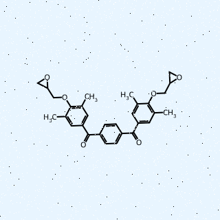 Cc1cc(C(=O)c2ccc(C(=O)c3cc(C)c(OCC4CO4)c(C)c3)cc2)cc(C)c1OCC1CO1